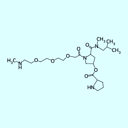 CNCCOCCOCCOCC(=O)N1CC(OC(=O)C2CCCN2)CC1C(=O)N(C)CC(C)C